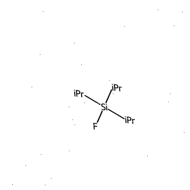 CC(C)[Si](F)(C(C)C)C(C)C